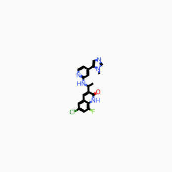 CC(Nc1cc(-c2cncn2C)ccn1)c1cc2cc(Cl)cc(F)c2[nH]c1=O